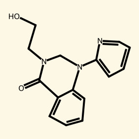 O=C1c2ccccc2N(c2ccccn2)CN1CCO